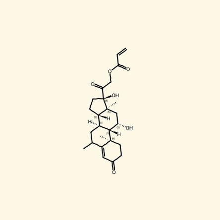 C=CC(=O)OCC(=O)[C@@]1(O)CC[C@H]2[C@@H]3CC(C)C4=CC(=O)CC[C@]4(C)[C@H]3[C@@H](O)C[C@@]21C